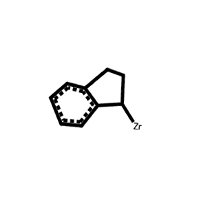 [Zr][CH]1CCc2ccccc21